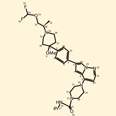 COC1(c2ccc(-c3cc4c(N5CCN(C(=O)NC(C)C)CC5)ccnn4c3)cc2)CCN([C@H](C)COC(F)F)CC1